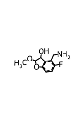 COC1Oc2ccc(F)c(CN)c2C1O